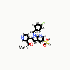 CNC(=O)c1cnccc1-c1cc2cc(S(C)(=O)=O)cnc2n1Cc1ccc(F)cc1